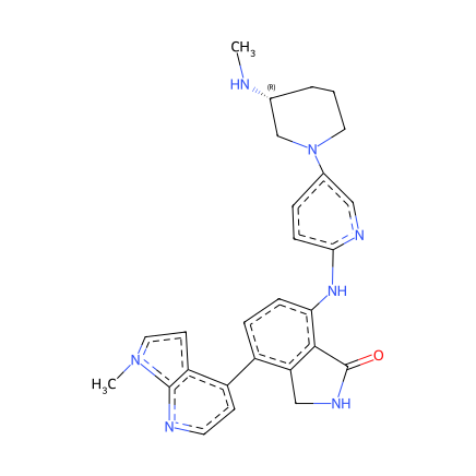 CN[C@@H]1CCCN(c2ccc(Nc3ccc(-c4ccnc5c4ccn5C)c4c3C(=O)NC4)nc2)C1